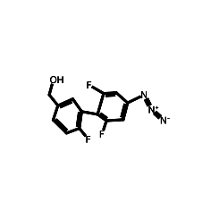 [N-]=[N+]=Nc1cc(F)c(-c2cc(CO)ccc2F)c(F)c1